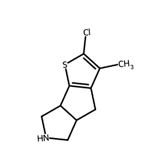 Cc1c(Cl)sc2c1CC1CNCC21